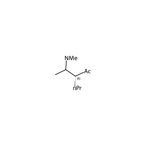 CCC[C@@H](C(C)=O)C(C)NC